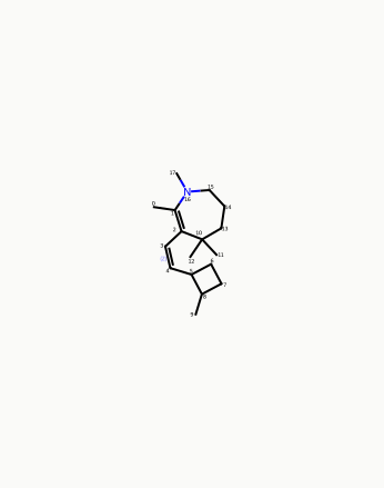 CC1=C(/C=C\C2CCC2C)C(C)(C)CCCN1C